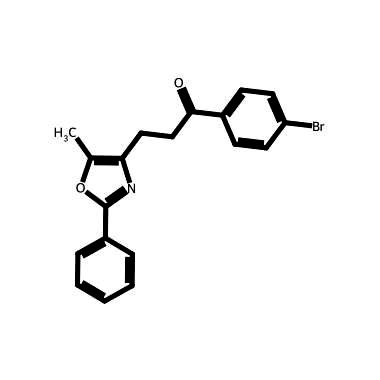 Cc1oc(-c2ccccc2)nc1CCC(=O)c1ccc(Br)cc1